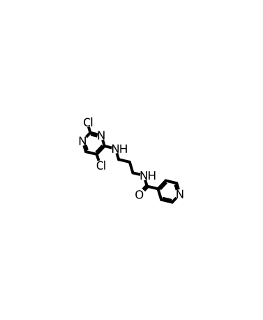 O=C(NCCCNc1nc(Cl)ncc1Cl)c1ccncc1